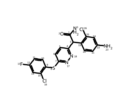 NC(=O)C(c1ccc(Sc2ccc(F)cc2Cl)nn1)c1ccc(N)cc1Cl